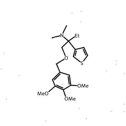 CCC(COCc1cc(OC)c(OC)c(OC)c1)(c1ccsc1)N(C)C